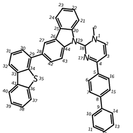 CN1C=CC(c2ccc(-c3ccccc3)cc2)=NC1n1c2ccccc2c2cc(-c3cccc4c3sc3ccccc34)ccc21